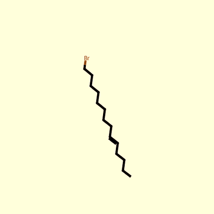 CCCCC=CCCCCCCCCBr